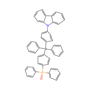 O=P(c1ccccc1)(c1ccccc1)c1ccc([Si](c2ccccc2)(c2ccccc2)c2ccc(-n3c4ccccc4c4ccccc43)cc2)cc1